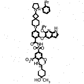 CC(C)Oc1nc2[nH]ccc2cc1Oc1cc(N2CCC3(CC2)CC(N2CCC[C@@H]2c2ccccc2C(C)C)C3)ccc1C(=O)NS(=O)(=O)c1cc2c(c([N+](=O)[O-])c1)N[C@@H]([C@H]1CC[C@](C)(O)CC1)CO2